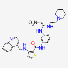 O=C(Nc1cccc(N/C(=C\[N+](=O)[O-])NCCN2CCCCC2)c1)c1sccc1NCc1ccnc2ccccc12